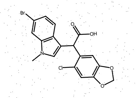 Cn1cc(C(C(=O)O)c2cc3c(cc2Cl)OCO3)c2ccc(Br)cc21